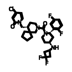 O=C(N1CC[C@@H](Cn2ccc(Cl)cc2=O)C2(CCCC2)C1)N1CC[C@@H](NC2CC(F)(F)C2)C[C@H]1c1cc(F)ccc1F